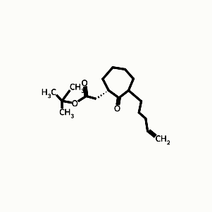 C=CCCCC1CCCC[C@@H](CC(=O)OC(C)(C)C)C1=O